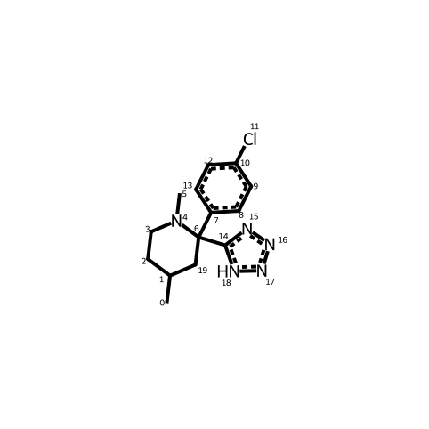 CC1CCN(C)C(c2ccc(Cl)cc2)(c2nnn[nH]2)C1